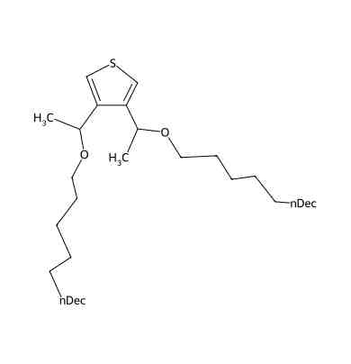 CCCCCCCCCCCCCCCOC(C)c1cscc1C(C)OCCCCCCCCCCCCCCC